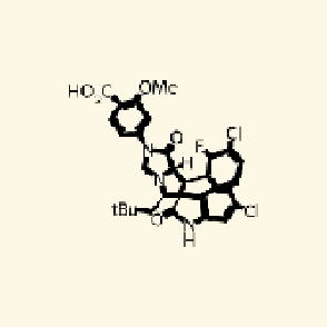 COc1cc(N2CN3[C@H](C2=O)[C@@H](C2C=CC=C(Cl)C2F)[C@@]2(C(=O)Nc4cc(Cl)ccc42)[C@H]3CC(C)(C)C)ccc1C(=O)O